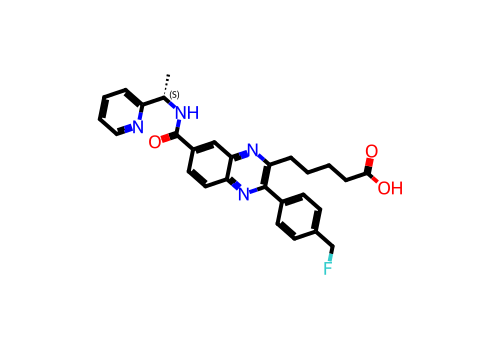 C[C@H](NC(=O)c1ccc2nc(-c3ccc(CF)cc3)c(CCCCC(=O)O)nc2c1)c1ccccn1